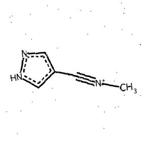 C[N+]#Cc1cn[nH]c1